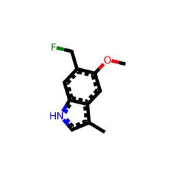 COc1cc2c(C)c[nH]c2cc1CF